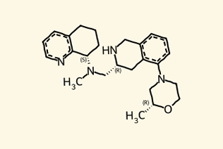 C[C@@H]1CN(c2cccc3c2C[C@H](CN(C)[C@H]2CCCc4cccnc42)NC3)CCO1